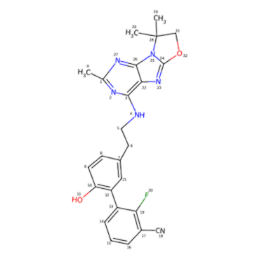 Cc1nc(NCCc2ccc(O)c(-c3cccc(C#N)c3F)c2)c2nc3n(c2n1)C(C)(C)CO3